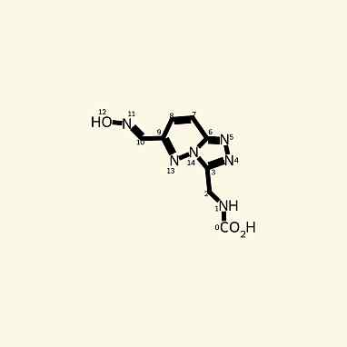 O=C(O)NCc1nnc2ccc(C=NO)nn12